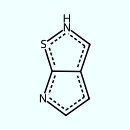 c1cc2c[nH]sc-2n1